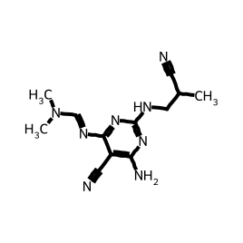 CC(C#N)CNc1nc(N)c(C#N)c(N=CN(C)C)n1